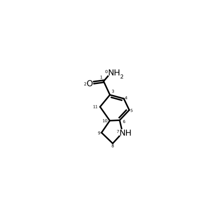 NC(=O)C1=CC=C2NCCC2C1